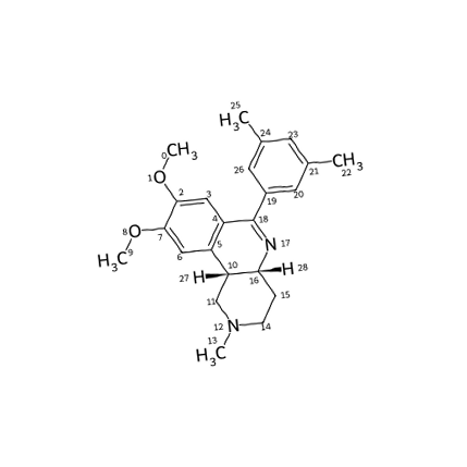 COc1cc2c(cc1OC)[C@H]1CN(C)CC[C@H]1N=C2c1cc(C)cc(C)c1